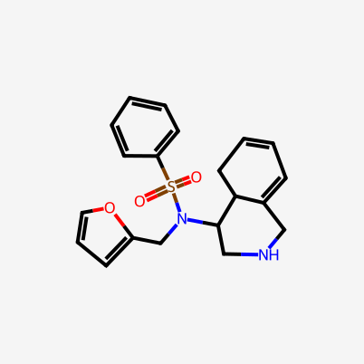 O=S(=O)(c1ccccc1)N(Cc1ccco1)C1CNCC2=CC=CCC21